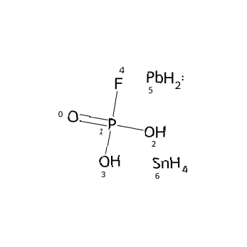 O=P(O)(O)F.[PbH2].[SnH4]